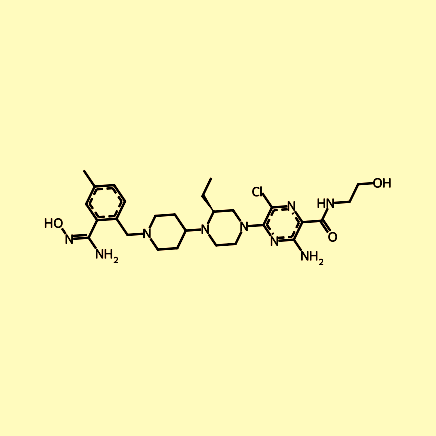 CC[C@H]1CN(c2nc(N)c(C(=O)NCCO)nc2Cl)CCN1C1CCN(Cc2ccc(C)cc2/C(N)=N\O)CC1